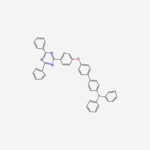 c1ccc(-c2nc(-c3ccccc3)nc(-c3ccc(Oc4ccc(-c5ccc(P(c6ccccc6)c6ccccc6)cc5)cc4)cc3)n2)cc1